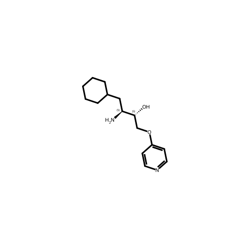 N[C@@H](CC1CCCCC1)[C@H](O)COc1ccncc1